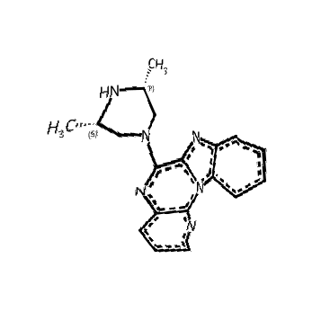 C[C@@H]1CN(c2nc3cccnc3n3c2nc2ccccc23)C[C@H](C)N1